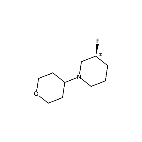 F[C@H]1CCCN(C2CCOCC2)C1